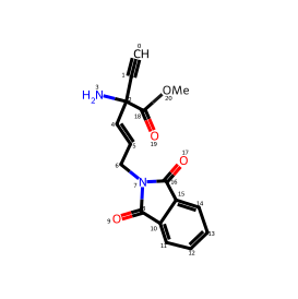 C#CC(N)(C=CCN1C(=O)c2ccccc2C1=O)C(=O)OC